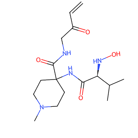 C=CC(=O)CNC(=O)C1(NC(=O)[C@@H](NO)C(C)C)CCN(C)CC1